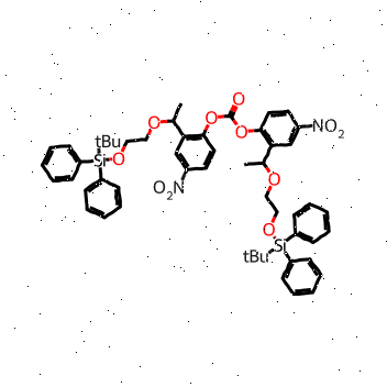 CC(OCCO[Si](c1ccccc1)(c1ccccc1)C(C)(C)C)c1cc([N+](=O)[O-])ccc1OC(=O)Oc1ccc([N+](=O)[O-])cc1C(C)OCCO[Si](c1ccccc1)(c1ccccc1)C(C)(C)C